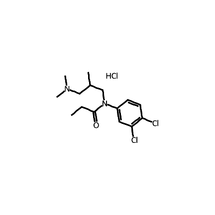 CCC(=O)N(CC(C)CN(C)C)c1ccc(Cl)c(Cl)c1.Cl